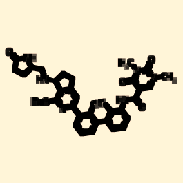 CC(C)COc1nc(-c2cccc(-c3cccc(NC(=O)c4cn(C)c(=O)n(C)c4=O)c3Cl)c2Cl)cc2c1[C@@H](NCC1CCC(=O)N1)CC2